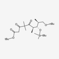 CCCCOC[C@H](C)[C@H](O[Si](C)(C)C(C)(C)C)[C@@H](C)C(=O)C(C)(C)C(=O)CC(=O)OC(C)(C)C